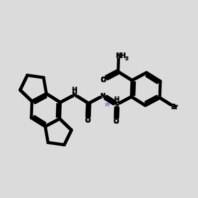 NC(=O)c1ccc(Br)cc1/[SH](=O)=N/C(=O)Nc1c2c(cc3c1CCC3)CCC2